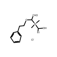 CCC(O)[N+](C)(C)C(C=O)OCCc1ccccc1.[Cl-]